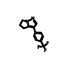 FC(F)(F)c1ccc(-c2cnn3c2CCC3)cc1